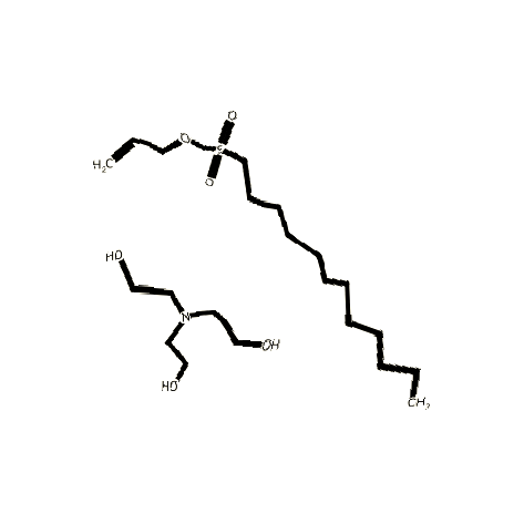 C=CCOS(=O)(=O)CCCCCCCCCCCC.OCCN(CCO)CCO